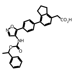 CC(OC(=O)Nc1cnoc1-c1ccc(-c2ccc(CC(=O)O)c3c2CCC3)cc1)c1ccccc1